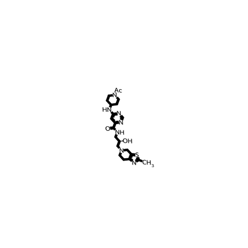 CC(=O)N1CCC(Nc2cc(C(=O)NC[C@H](O)CN3CCc4nc(C)sc4C3)ncn2)CC1